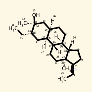 C/C=C1/CC[C@H]2[C@@H]3CC[C@@H]4C[C@](C)(O)[C@@H](CC)C[C@@H]4[C@H]3CC[C@]12C